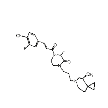 CC1C(=O)N(CCCN2CCC3(CC3)[C@H](O)C2)CCN1C(=O)C=Cc1ccc(Cl)c(F)c1